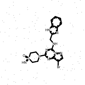 N=S1(=O)CCN(c2nc(NCc3nc4ccccc4[nH]3)n3ncc(Br)c3n2)CC1